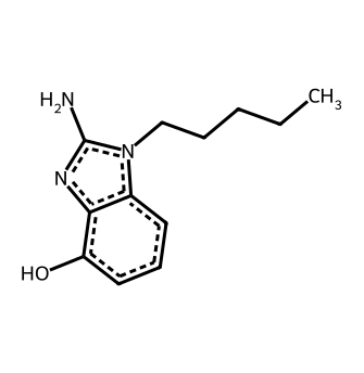 CCCCCn1c(N)nc2c(O)cccc21